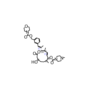 C/C(=C\c1cccc(COC(=O)N2CCOCC2)c1)[C@H]1OC(=O)C[C@H](O)CC[C@H](C)[C@H](OC(=O)N2CCN(C)CC2)/C=C/[C@@H]1C